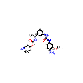 CC[C@H](CC#N)OC(=O)N[C@@H](C)c1cccc(NC(=O)Nc2ccc(N)c(OC)c2)c1